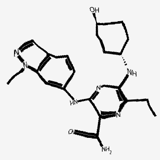 CCc1nc(C(N)=O)c(Nc2ccc3cnn(C)c3c2)nc1N[C@H]1CC[C@H](O)CC1